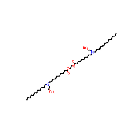 CCCCCCCCCCCCN(CCO)CCCCCCCCCC(=O)OCCOC(=O)CCCCCCCCCN(CCO)CCCCCCCCCCCC